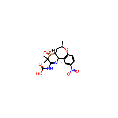 C[C@@H]1C[C@@H]2[C@](C)(N=C(NC(=O)O)C(C)(C)S2(=O)=O)c2cc([N+](=O)[O-])ccc2O1